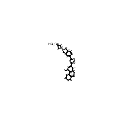 Cc1cc(-c2nc(-c3ccc4c(c3)CN([C@H]3C[C@H](C(=O)O)C3)C4)no2)cc(C)c1-c1ccncc1F